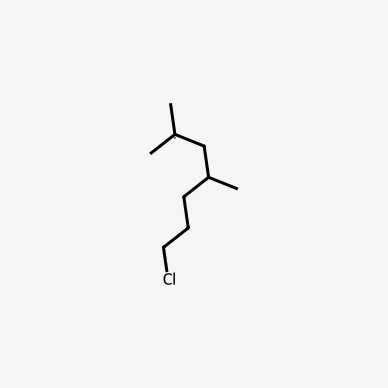 C[C](C)CC(C)CCCCl